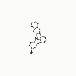 CC(C)c1ccc2c(c1)c1cccc3c4cc5ccccc5cc4n2c13